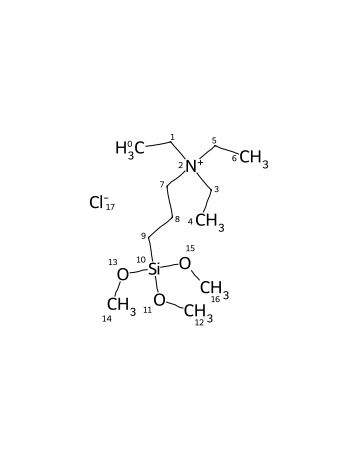 CC[N+](CC)(CC)CCC[Si](OC)(OC)OC.[Cl-]